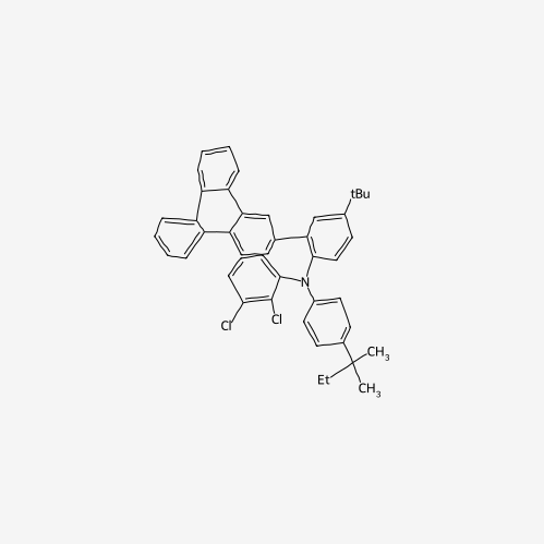 CCC(C)(C)c1ccc(N(c2ccc(C(C)(C)C)cc2-c2ccc3c4ccccc4c4ccccc4c3c2)c2cccc(Cl)c2Cl)cc1